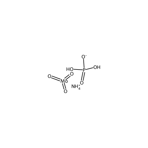 O=P([O-])(O)O.[NH4+].[O]=[Mo](=[O])=[O]